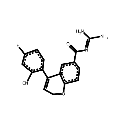 [C-]#[N+]c1cc(F)ccc1C1=CCOc2ccc(C(=O)N=C(N)N)cc21